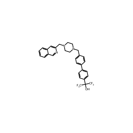 OC(c1ccc(-c2ccc(CN3CCN(Cc4cc5ccccc5cn4)CC3)cc2)cc1)(C(F)(F)F)C(F)(F)F